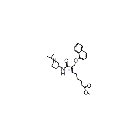 COC(=O)CCCC/C=C(\COc1cccc2ccccc12)C(=O)NC1CCN(C(C)C)C1